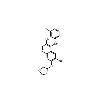 CCc1cccc(Nc2c(C#N)cnc3cc(OC4CCOC4)c([N+](=O)[O-])cc23)c1